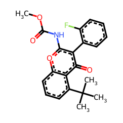 COC(=O)Nc1oc2cccc(C(C)(C)C)c2c(=O)c1-c1ccccc1F